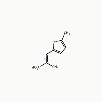 C/C(=C\c1ccc(C)o1)C(=O)O